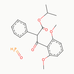 COc1cccc(OC)c1C(=O)C(C(=O)OC(C)C)c1ccccc1.O=[PH3]